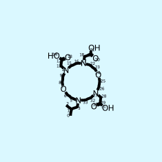 CC(C)CN1CCOCCN(CC(=O)O)CCN(CC(=O)O)CCOCCN(CC(=O)O)CC1